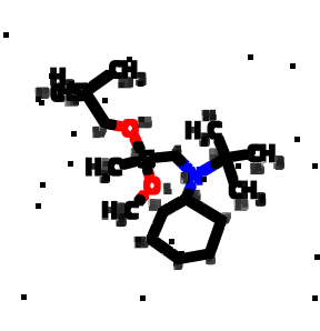 CO[Si](C)(CN(C1CCCCC1)C(C)(C)C)OC[SiH](C)C